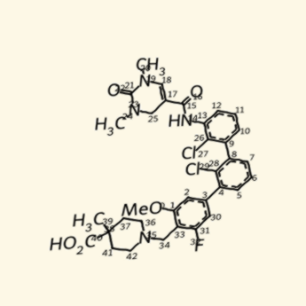 COc1cc(-c2cccc(-c3cccc(NC(=O)C4=CN(C)C(=O)N(C)C4)c3Cl)c2Cl)cc(F)c1CN1CCC(C)(C(=O)O)CC1